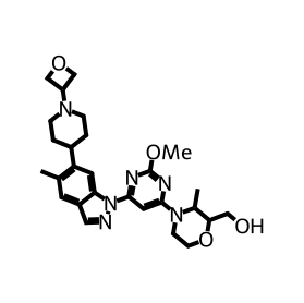 COc1nc(N2CCOC(CO)C2C)cc(-n2ncc3cc(C)c(C4CCN(C5COC5)CC4)cc32)n1